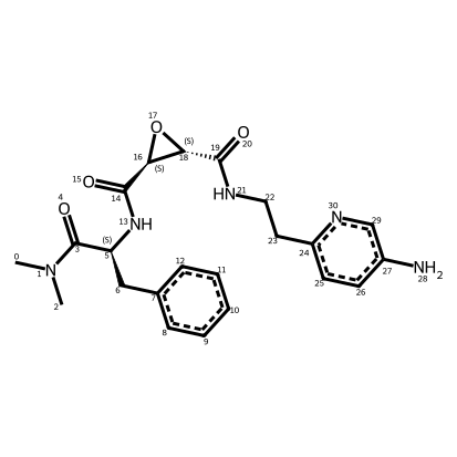 CN(C)C(=O)[C@H](Cc1ccccc1)NC(=O)[C@H]1O[C@@H]1C(=O)NCCc1ccc(N)cn1